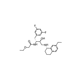 CCOCC(=O)N[C@H](Cc1cc(F)cc(F)c1)[C@@H](O)CN[C@H]1CCCc2ccc(CC)cc21